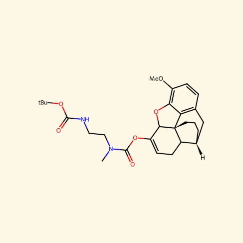 COc1ccc2c3c1OC1C(OC(=O)N(C)CCNC(=O)OC(C)(C)C)=CCC4[C@H](CCC[C@]314)C2